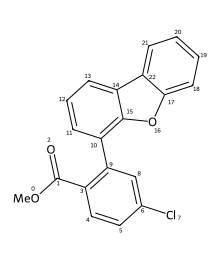 COC(=O)c1ccc(Cl)cc1-c1cccc2c1oc1ccccc12